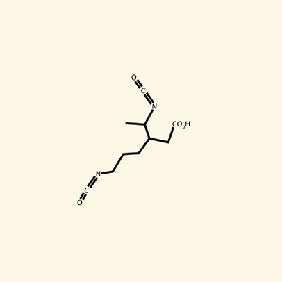 CC(N=C=O)C(CCCN=C=O)CC(=O)O